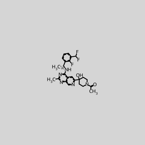 CC(=O)N1CCC(O)(c2cc3c(N[C@H](C)c4cccc(C(F)F)c4F)nc(C)nc3cn2)CC1